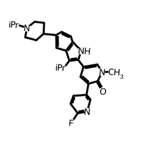 CC(C)c1c(-c2cc(-c3ccc(F)nc3)c(=O)n(C)c2)[nH]c2ccc(C3CCN(C(C)C)CC3)cc12